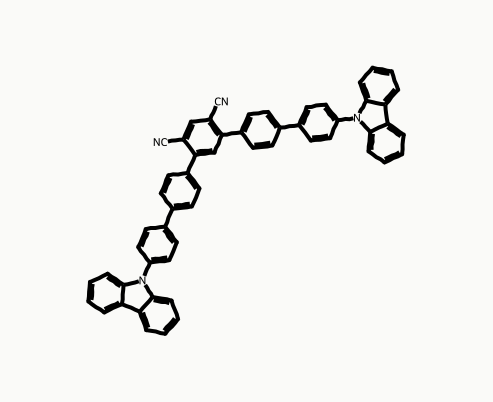 N#Cc1cc(C#N)c(-c2ccc(-c3ccc(-n4c5ccccc5c5ccccc54)cc3)cc2)cc1-c1ccc(-c2ccc(-n3c4ccccc4c4ccccc43)cc2)cc1